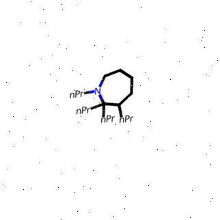 CCCC1CCCCN(CCC)C1(CCC)CCC